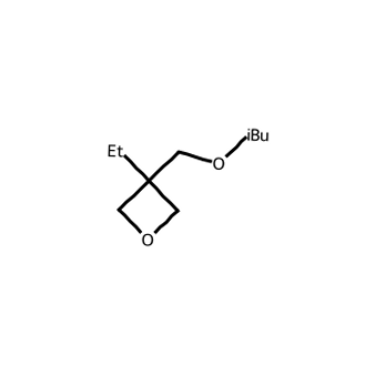 CCC(C)OCC1(CC)COC1